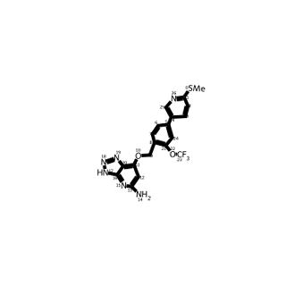 CSc1ccc(-c2ccc(COc3cc(N)nc4[nH]nnc34)c(OC(F)(F)F)c2)cn1